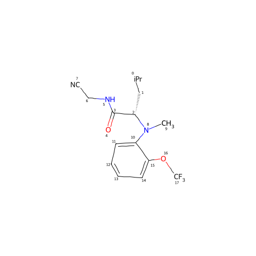 CC(C)C[C@@H](C(=O)NCC#N)N(C)c1ccccc1OC(F)(F)F